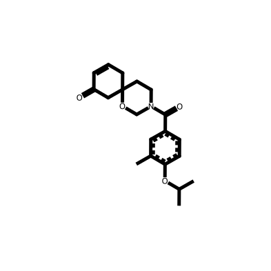 Cc1cc(C(=O)N2CCC3(CC=CC(=O)C3)OC2)ccc1OC(C)C